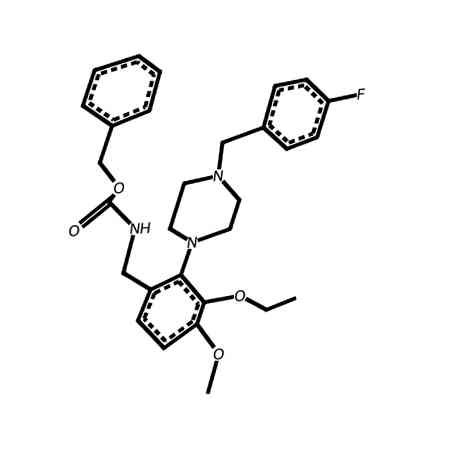 CCOc1c(OC)ccc(CNC(=O)OCc2ccccc2)c1N1CCN(Cc2ccc(F)cc2)CC1